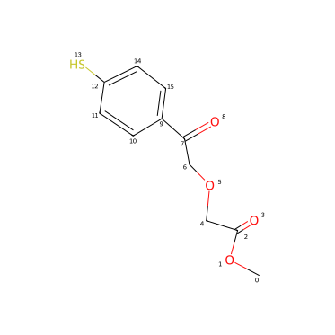 COC(=O)COCC(=O)c1ccc(S)cc1